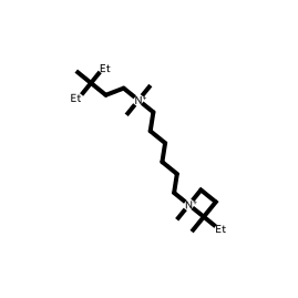 CCC(C)(CC)CC[N+](C)(C)CCCCCC[N+]1(C)CCC1(C)CC